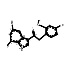 COc1cc(Cl)ccc1CC(=O)c1c[nH]c2c(C)cc(F)cc12